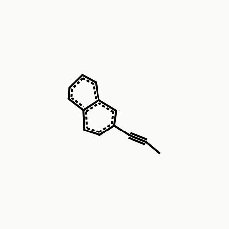 CC#Cc1[c]c2ccccc2cc1